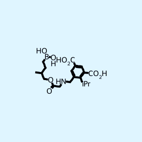 CC(CCB(O)O)COC(=O)CNCc1cc(C(=O)O)cc(C(=O)O)c1C(C)C